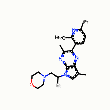 CCC(CN1CCOCC1)n1cc(C)c2nc(-c3ccc(C(C)C)nc3OC)c(C)nc21